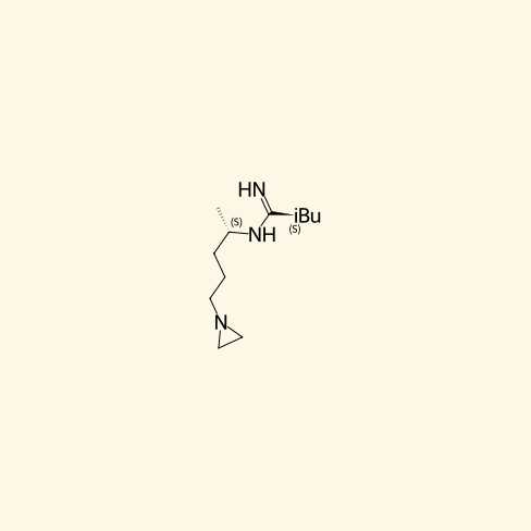 CC[C@H](C)C(=N)N[C@@H](C)CCCN1CC1